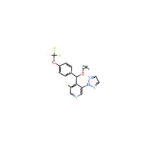 COC(c1ccc(OC(F)(F)F)cc1)c1c(F)cncc1-n1nccn1